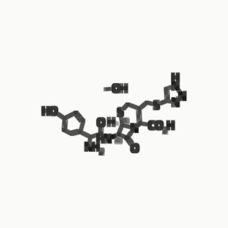 CO.NC(C(=O)N[C@@H]1C(=O)N2C(C(=O)O)=C(CSc3c[nH]nn3)CS[C@H]12)c1ccc(O)cc1